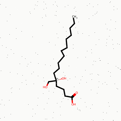 CCCCCCCCCCC[C@](O)(CO)CCCC(=O)O